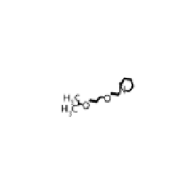 CC(C)OCCCOCCN1CCCCC1